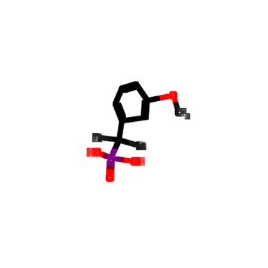 CCC(CC)(c1cccc(OC(F)(F)F)c1)P(=O)(O)O